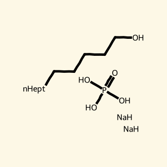 CCCCCCCCCCCCO.O=P(O)(O)O.[NaH].[NaH]